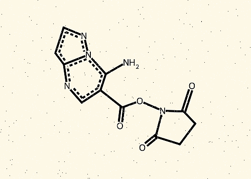 Nc1c(C(=O)ON2C(=O)CCC2=O)cnc2ccnn12